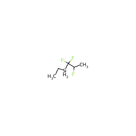 CC[SiH2]C(F)(F)C(C)F